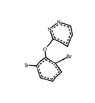 Brc1cccc(Br)c1Oc1cc[c]nn1